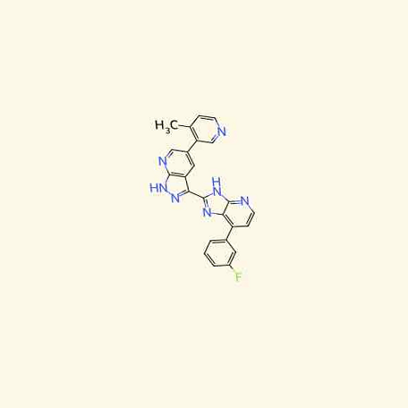 Cc1ccncc1-c1cnc2[nH]nc(-c3nc4c(-c5cccc(F)c5)ccnc4[nH]3)c2c1